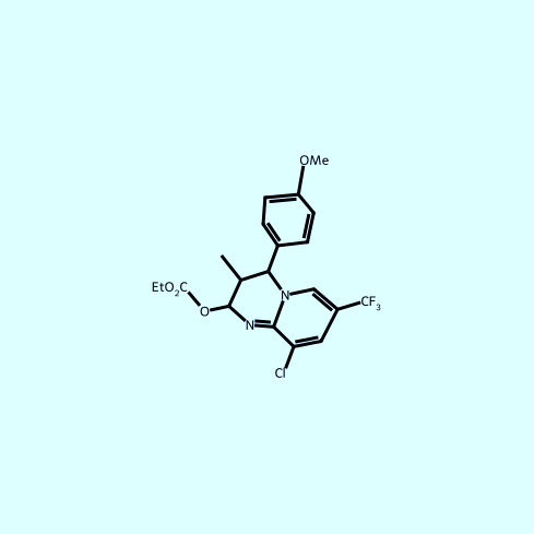 CCOC(=O)OC1N=C2C(Cl)=CC(C(F)(F)F)=CN2C(c2ccc(OC)cc2)C1C